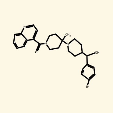 CC1(N2CCC(C(O)c3ccc(Br)cc3)CC2)CCN(C(=O)c2ccnc3ccccc23)CC1